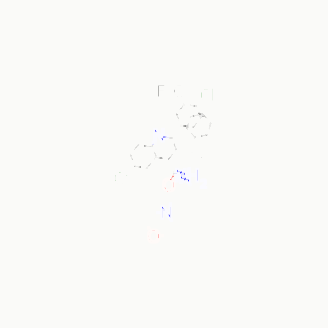 NC(=O)c1c(C2(c3ccccc3)CC2N2CCC(N3CCOCC3)CC2)c(-c2ccc(Cl)c(C(F)(F)F)c2)nc2ccc(Cl)cc12